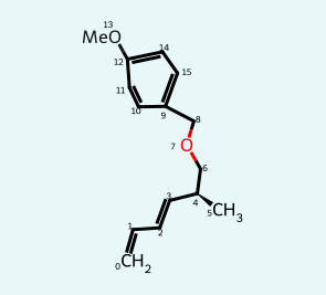 C=CC=C[C@H](C)COCc1ccc(OC)cc1